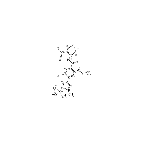 Cn1cc(-c2cc(OCC(F)(F)F)c(C(=O)Nc3ccccc3C(F)F)cc2F)nc1C(C)(C)O